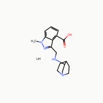 Cn1nc(CNC2CN3CCC2CC3)c2c(C(=O)O)cccc21.[LiH]